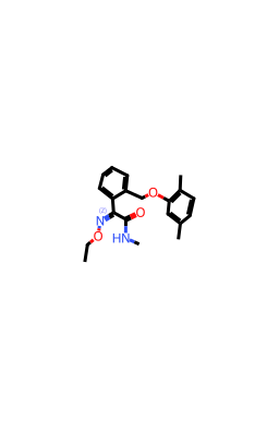 CCO/N=C(\C(=O)NC)c1ccccc1COc1cc(C)ccc1C